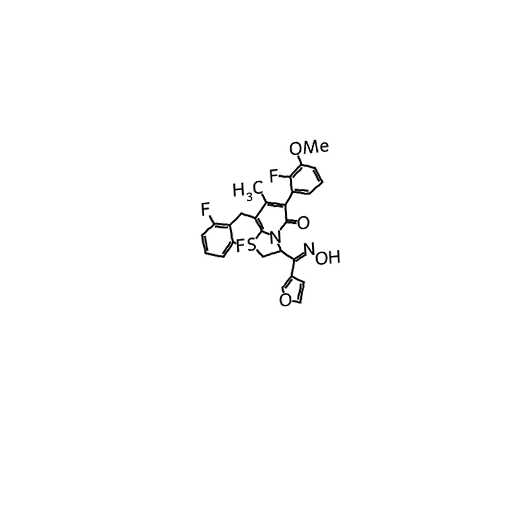 COc1cccc(-c2c(C)c(Cc3c(F)cccc3F)c3n(c2=O)C(C(=NO)c2ccoc2)CS3)c1F